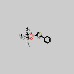 CC1(C)OB(c2csc(C3C=CC=CC3)n2)OC1(C)C